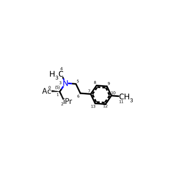 CC(=O)[C@H](C(C)C)N(C)CCc1ccc(C)cc1